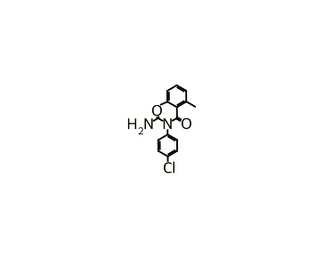 Cc1cccc(C)c1C(=O)N(C(N)=O)c1ccc(Cl)cc1